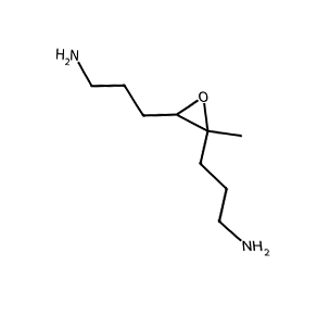 CC1(CCCN)OC1CCCN